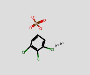 Clc1cccc(Cl)c1Cl.O=S(=O)([O-])[O-].[K+].[K+]